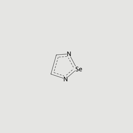 c1cn[se]n1